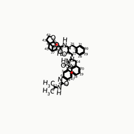 CC(C)Nc1nc2cc(S(=O)(=O)NN(Cc3ccccc3)C[C@@H](O)[C@H](Cc3ccccc3)NC(=O)OC3C4COC5OCC3C5C4)ccc2o1